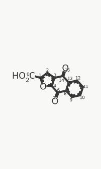 O=C(O)c1cc2c(o1)C(=O)c1ccccc1C2=O